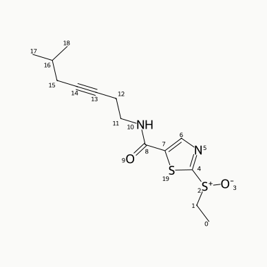 CC[S+]([O-])c1ncc(C(=O)NCCC#CCC(C)C)s1